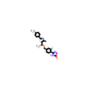 Cc1nc(-c2ccc(C(F)(F)F)cc2)sc1C(OCc1ccc(-c2noc(=O)[nH]2)c(F)c1)C(F)(F)F